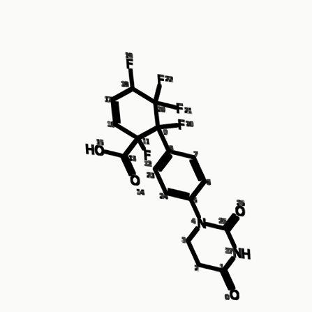 O=C1CCN(c2ccc(C3(F)C(F)(C(=O)O)C=CC(F)C3(F)F)cc2)C(=O)N1